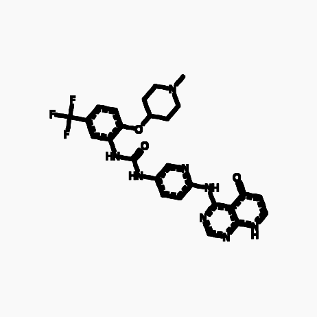 CN1CCC(Oc2ccc(C(F)(F)F)cc2NC(=O)Nc2ccc(Nc3ncnc4[nH]ccc(=O)c34)nc2)CC1